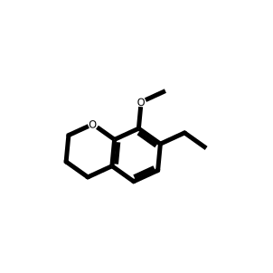 CCc1ccc2c(c1OC)OCCC2